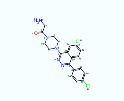 Cl.NCC(=O)N1CCN(c2nnc(-c3ccc(Cl)cc3)c3ccccc23)CC1